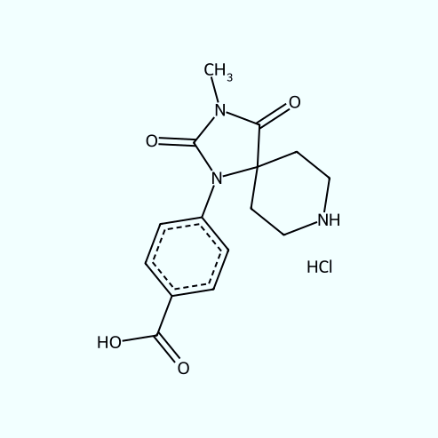 CN1C(=O)N(c2ccc(C(=O)O)cc2)C2(CCNCC2)C1=O.Cl